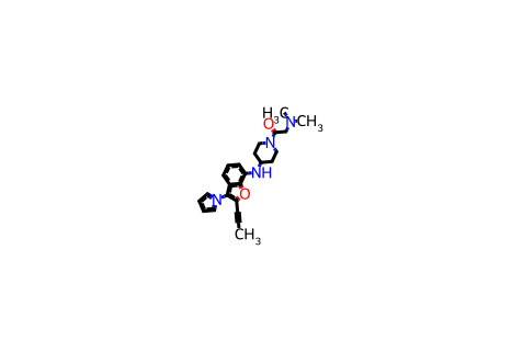 CC#Cc1oc2c(NC3CCN(C(=O)CN(C)C)CC3)cccc2c1-n1cccc1